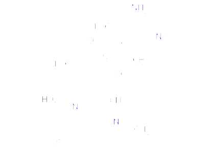 C=N/C=C(/Cl)N(C)C(C)[C@H](C)S(=O)(=O)C(C)(C)C(=N)N